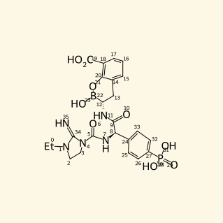 CCN1CCN(C(=O)N[C@@H](C(=O)N[C@H]2Cc3cccc(C(=O)O)c3OB2O)c2ccc(P(=O)(O)O)cc2)C1=N